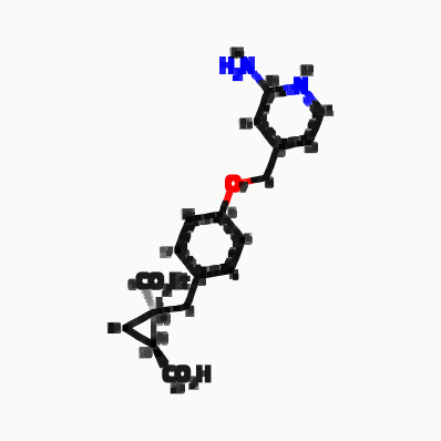 CCOC(=O)[C@@]1(Cc2ccc(OCc3ccnc(N)c3)cc2)C[C@@H]1C(=O)O